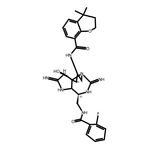 CC1(C)CCOc2c(C(=O)NC3CN4C(=N)N[C@@H](CNC(=O)c5ccccc5F)C5NC(=N)NC54[C@@H]3O)cccc21